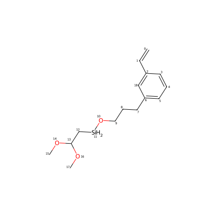 C=Cc1cccc(CCCO[SiH2]CC(OC)OC)c1